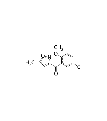 COc1ccc(Cl)cc1C(=O)c1cc(C)on1